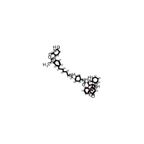 Cn1c(=O)n(C2CCC(=O)NC2=O)c2ccc(CCCCCNC[C@H]3CC[C@H](NC(=O)[C@@H]4NC5(CCCCC5)[C@@]5(C(=O)Nc6cc(Cl)ccc65)[C@H]4c4cccc(Cl)c4F)CC3)cc21